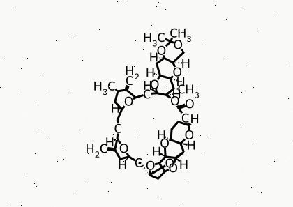 C=C1C2C[C@@H]3O[C@H]4C[C@H]5OC(C)(C)OC[C@H]5O[C@H]4[C@H](C)[C@H]3OC(=O)C[C@H]3CC[C@@H]4O[C@H]5C6O[C@]7(CC[C@H]8CC(=C)[C@H](CC[C@@H](C[C@H]1C)O2)O8)CC6O[C@H]5C(O7)[C@H]4O3